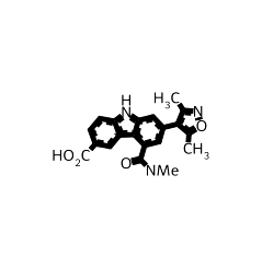 CNC(=O)c1cc(-c2c(C)noc2C)cc2[nH]c3ccc(C(=O)O)cc3c12